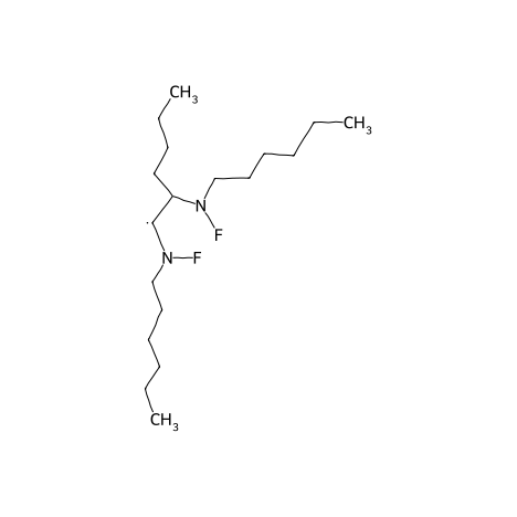 CCCCCCN(F)[CH]C(CCCC)N(F)CCCCCC